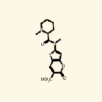 CN(C(=O)C1CCCCN1C)c1cc2oc(=O)c(C(=O)O)cc2s1